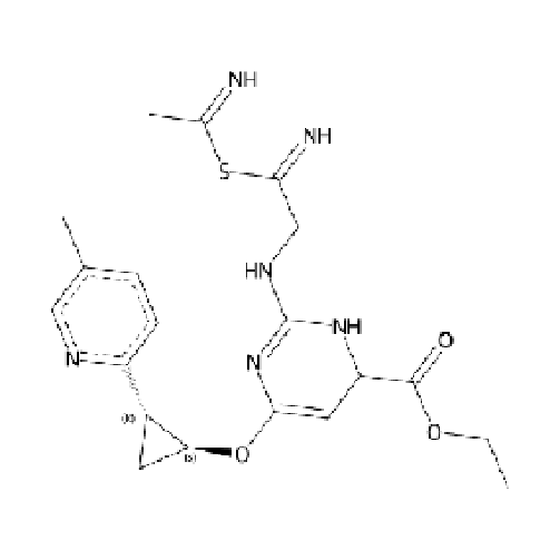 CCOC(=O)C1C=C(O[C@H]2C[C@@H]2c2ccc(C)cn2)N=C(NCC(=N)SC(C)=N)N1